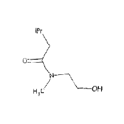 CC(C)CC(=O)N(C)CCO